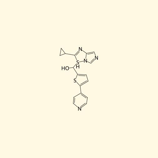 OC(c1ccc(-c2ccncc2)s1)[SH]1C(C2CC2)=Nc2cncn21